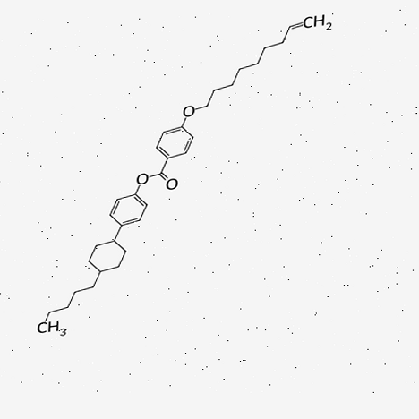 C=CCCCCCCCOc1ccc(C(=O)Oc2ccc(C3CCC(CCCCC)CC3)cc2)cc1